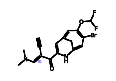 C#C/C(=C\N(C)C)C(=O)C1=CC2=CC(OC(F)F)=C(Br)C=C(C2)N1